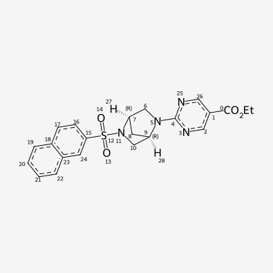 CCOC(=O)c1cnc(N2C[C@H]3C[C@@H]2CN3S(=O)(=O)c2ccc3ccccc3c2)nc1